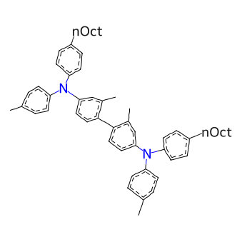 CCCCCCCCc1ccc(N(c2ccc(C)cc2)c2ccc(-c3ccc(N(c4ccc(C)cc4)c4ccc(CCCCCCCC)cc4)cc3C)c(C)c2)cc1